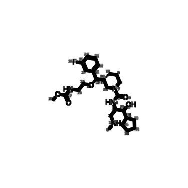 CNCC(NC(=O)N1CCC[C@@H]([C@@H](OCCNC(=O)OC)c2cccc(F)c2)C1)C(O)C1CCCC1